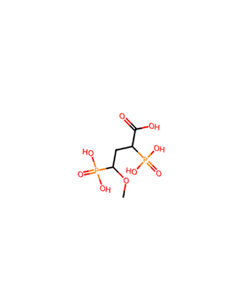 COC(CC(C(=O)O)P(=O)(O)O)P(=O)(O)O